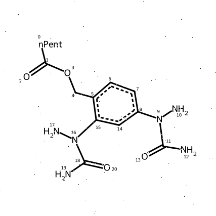 CCCCCC(=O)OCc1ccc(N(N)C(N)=O)cc1N(N)C(N)=O